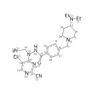 CCN(CC)C1CCN(Cc2ccc(C(=O)NN(CC(C)C)c3nc(C#N)ncc3Cl)cc2)CC1